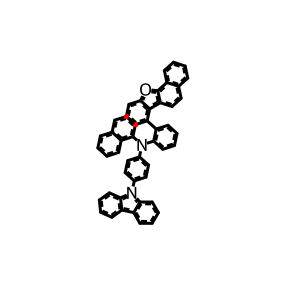 c1ccc(N(c2ccc(-n3c4ccccc4c4ccccc43)cc2)c2cccc3ccccc23)c(-c2cccc3oc4c5ccccc5ccc4c23)c1